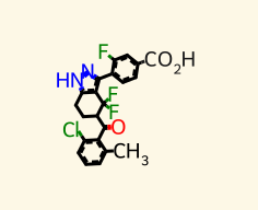 Cc1cccc(Cl)c1C(=O)C1CCc2[nH]nc(-c3ccc(C(=O)O)cc3F)c2C1(F)F